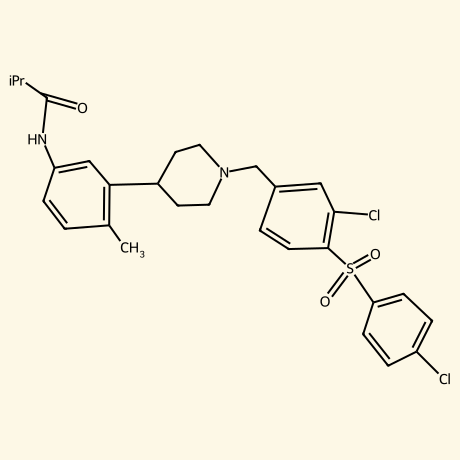 Cc1ccc(NC(=O)C(C)C)cc1C1CCN(Cc2ccc(S(=O)(=O)c3ccc(Cl)cc3)c(Cl)c2)CC1